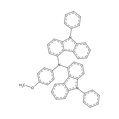 COc1ccc(N(c2cccc3c2c2ccccc2n3-c2ccccc2)c2cccc3c2c2ccccc2n3-c2ccccc2)cc1